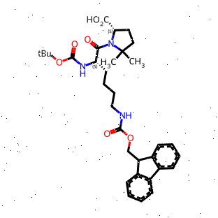 CC(C)(C)OC(=O)N[C@@H](CCCCNC(=O)OCC1c2ccccc2-c2ccccc21)C(=O)N1[C@H](C(=O)O)CCC1(C)C